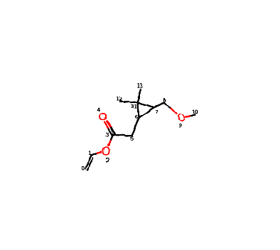 C=COC(=O)CC1C(COC)C1(C)C